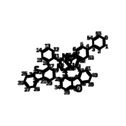 c1ccc(-c2ccc(-c3nc(-c4ccccc4-c4cccc5c4sc4ccccc45)nc(-c4cccc5oc6cccc(-c7ccccc7)c6c45)n3)cc2)cc1